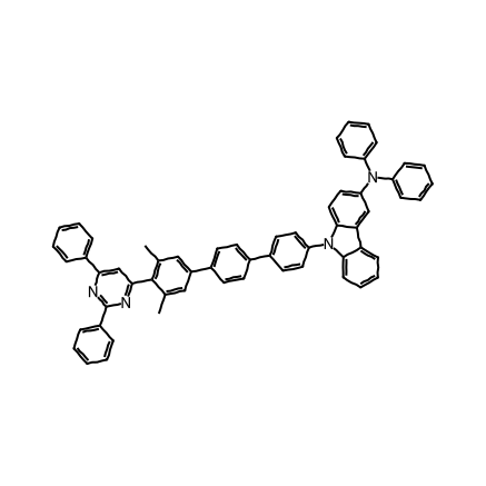 Cc1cc(-c2ccc(-c3ccc(-n4c5ccccc5c5cc(N(c6ccccc6)c6ccccc6)ccc54)cc3)cc2)cc(C)c1-c1cc(-c2ccccc2)nc(-c2ccccc2)n1